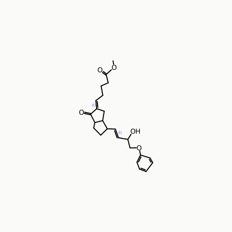 COC(=O)CCC/C=C1\CC2C(/C=C/C(O)COc3ccccc3)CCC2C1=O